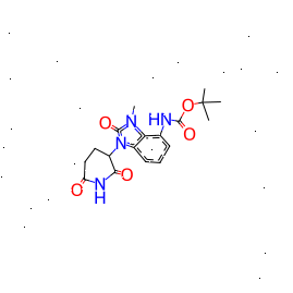 Cn1c(=O)n(C2CCC(=O)NC2=O)c2cccc(NC(=O)OC(C)(C)C)c21